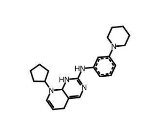 C1=CN(C2CCCC2)C2NC(Nc3cccc(N4CCCCC4)c3)=NC=C2C1